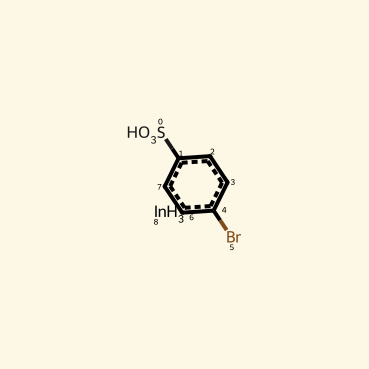 O=S(=O)(O)c1ccc(Br)cc1.[InH3]